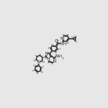 Nc1nccn2c([C@@H]3CCCN(c4ccccc4)C3)nc(-c3ccc(C(=O)Nc4cc(C5CC5)ccn4)cc3)c12